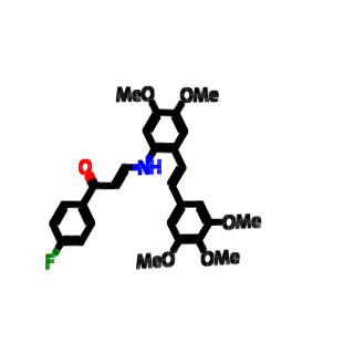 COc1cc(C=Cc2cc(OC)c(OC)c(OC)c2)c(NC=CC(=O)c2ccc(F)cc2)cc1OC